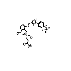 CNC(=O)CCC(C=O)N(C)Cc1c(C=O)cccc1OCc1cnc(-c2ccc(OC(F)(F)F)cc2)s1